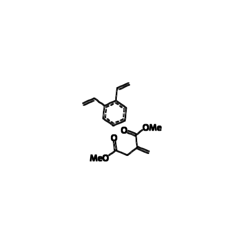 C=C(CC(=O)OC)C(=O)OC.C=Cc1ccccc1C=C